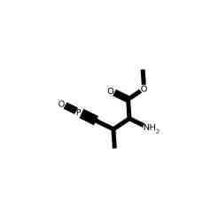 COC(=O)C(N)C(C)C#P=O